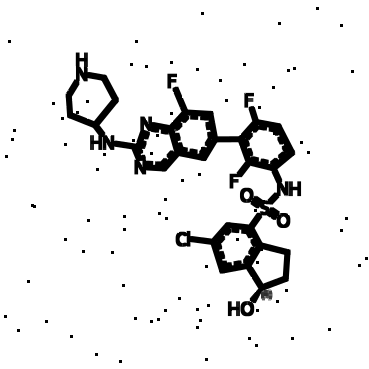 O=S(=O)(Nc1ccc(F)c(-c2cc(F)c3nc(NC4CCNCC4)ncc3c2)c1F)c1cc(Cl)cc2c1CC[C@H]2O